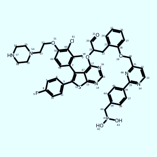 Cc1c(-c2c(-c3ccc(F)cc3)sc3ncnc(OC(C=O)Cc4ccccc4OCc4ccnc(-c5ccc(CP(O)O)cc5)n4)c23)ccc(OCCN2CCNCC2)c1Cl